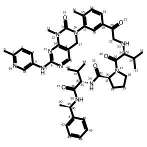 Cc1ccc(Nc2ncc3c(n2)N(C)C(=O)N(c2cc(C(=O)CN[C@H](C(=O)N4CCC[C@H]4C(=O)N[C@H](C(=O)N[C@H](C)c4ccccc4)C(C)C)C(C)C)ccc2C)C3)cn1